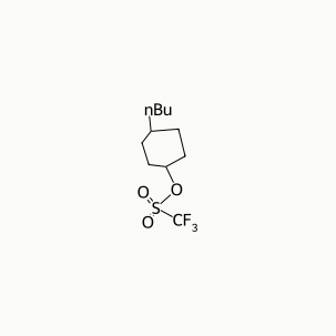 CCCCC1CCC(OS(=O)(=O)C(F)(F)F)CC1